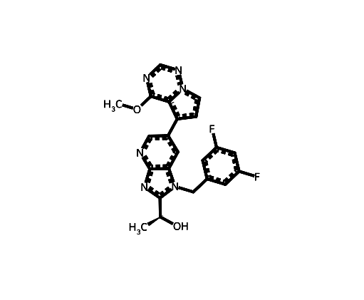 COc1ncnn2ccc(-c3cnc4nc([C@H](C)O)n(Cc5cc(F)cc(F)c5)c4c3)c12